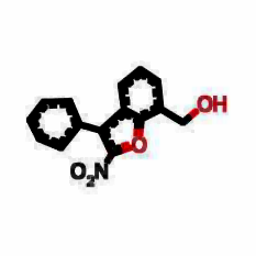 O=[N+]([O-])c1oc2c(CO)cccc2c1-c1ccccc1